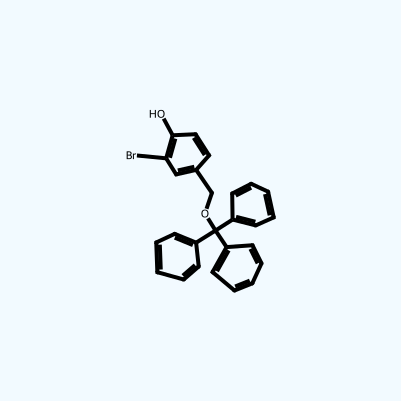 Oc1ccc(COC(c2ccccc2)(c2ccccc2)c2ccccc2)cc1Br